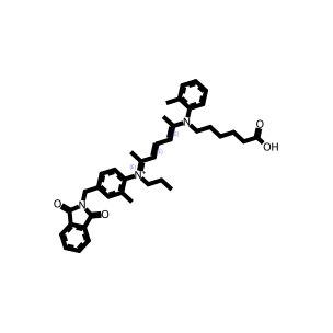 CCC\[N+](=C(C)/C=C/C=C(\C)N(CCCCCC(=O)O)c1ccccc1C)c1ccc(CN2C(=O)c3ccccc3C2=O)cc1C